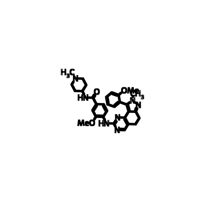 COc1cc(C(=O)NC2CCN(C)CC2)ccc1Nc1ncc2c(n1)-c1c(nn(C)c1-c1ccccc1OC)CC2